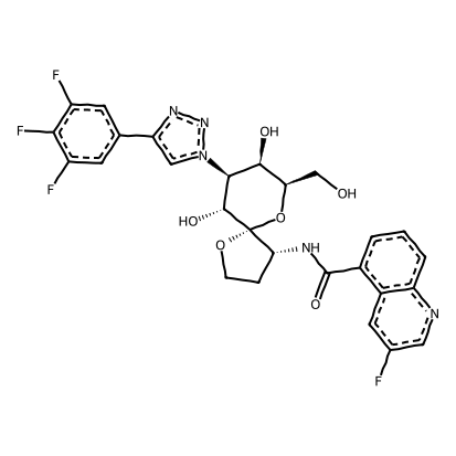 O=C(N[C@@H]1CCO[C@]12O[C@H](CO)[C@H](O)[C@H](n1cc(-c3cc(F)c(F)c(F)c3)nn1)[C@H]2O)c1cccc2ncc(F)cc12